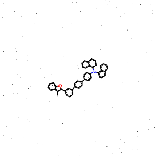 Cc1c(-c2cccc(-c3ccc(-c4ccc(N(c5cccc6ccccc56)c5cccc6ccccc56)cc4)cc3)c2)oc2ccccc12